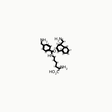 NCc1ccc(C(=O)NCCCC[C@H](N)C(=O)O)cc1.NCc1cccc2ccccc12